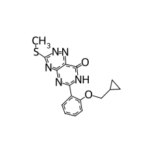 CSc1nnc2c(=O)[nH]c(-c3ccccc3OCC3CC3)nc2n1